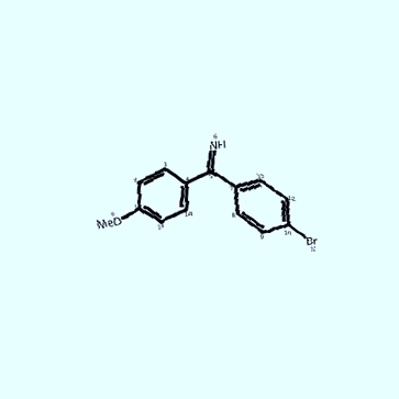 COc1ccc(C(=N)c2ccc(Br)cc2)cc1